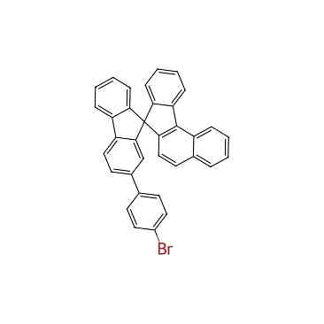 Brc1ccc(-c2ccc3c(c2)C2(c4ccccc4-3)c3ccccc3-c3c2ccc2ccccc32)cc1